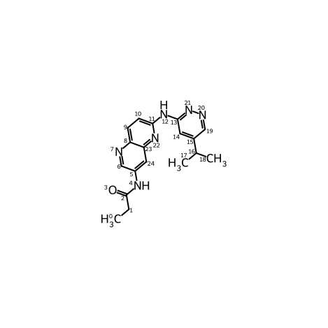 CCC(=O)Nc1cnc2ccc(Nc3cc(C(C)C)cnn3)nc2c1